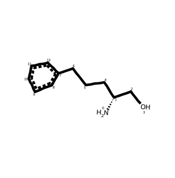 N[C@@H](CO)CCCc1ccccc1